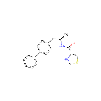 N#C[C@H](Cc1ccc(-c2ccccc2)cc1)NC(=O)[C@@H]1CSCN1